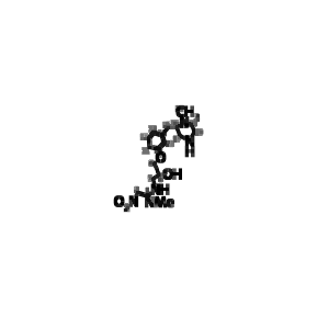 CNC(=C[N+](=O)[O-])NCC(O)COc1cccc(CC2CNCCN2C)c1